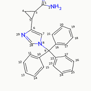 N=C(N)C1CC1c1cn(C(c2ccccc2)(c2ccccc2)c2ccccc2)cn1